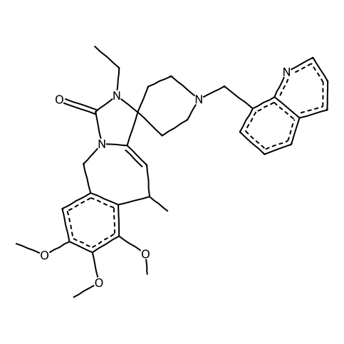 CCN1C(=O)N2Cc3cc(OC)c(OC)c(OC)c3C(C)C=C2C12CCN(Cc1cccc3cccnc13)CC2